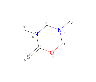 CN1COC(=S)N(C)C1